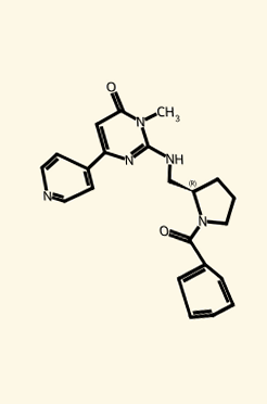 Cn1c(NC[C@H]2CCCN2C(=O)c2ccccc2)nc(-c2ccncc2)cc1=O